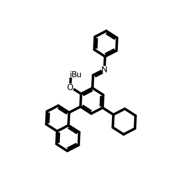 CCC(C)Oc1c(/C=N/c2ccccc2)cc(C2CCCCC2)cc1-c1cccc2ccccc12